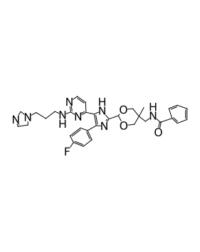 CC1(CNC(=O)c2ccccc2)COC(c2nc(-c3ccc(F)cc3)c(-c3ccnc(NCCCN4CC=NC4)n3)[nH]2)OC1